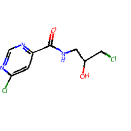 O=C(NCC(O)CCl)c1cc(Cl)ncn1